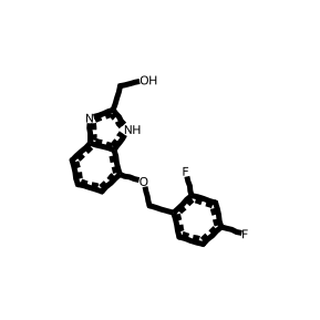 OCc1nc2cccc(OCc3ccc(F)cc3F)c2[nH]1